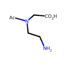 CC(=O)N(CCN)CC(=O)O